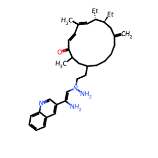 C=C1CCCCC(CCN(N)/C=C(\N)c2cnc3ccccc3c2)CC(C)C(=O)/C=C/C(C)=C/[C@H](CC)[C@@H](CC)C1